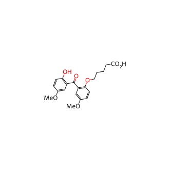 COc1ccc(O)c(C(=O)c2cc(OC)ccc2OCCCCC(=O)O)c1